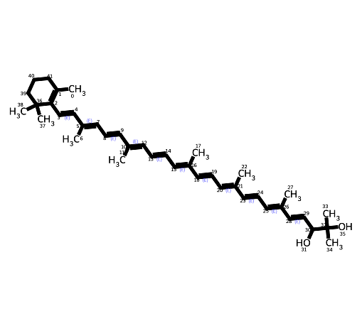 CC1=C(/C=C/C(C)=C/C=C/C(C)=C/C=C/C=C(C)/C=C/C=C(C)/C=C/C=C(C)/C=C/C(O)C(C)(C)O)C(C)(C)CCC1